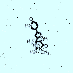 CN1C(=N)N[C@](C)(c2cc(-c3ccc(=O)[nH]c3)cs2)[C@@H](O)C1=O